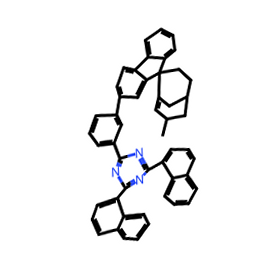 CC1C=C2CC(CCC23c2ccccc2-c2ccc(-c4cccc(-c5nc(-c6cccc7ccccc67)nc(-c6cccc7ccccc67)n5)c4)cc23)C1